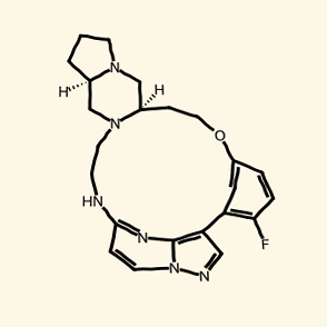 Fc1ccc2cc1-c1cnn3ccc(nc13)NCCN1C[C@H]3CCCN3C[C@H]1CCO2